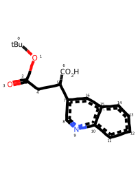 CC(C)(C)OC(=O)CC(C(=O)O)c1cnc2ccccc2c1